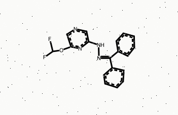 FC(F)Oc1cncc(NN=C(c2ccccc2)c2ccccc2)n1